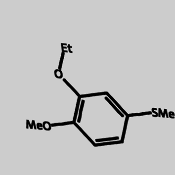 CCOc1cc(SC)ccc1OC